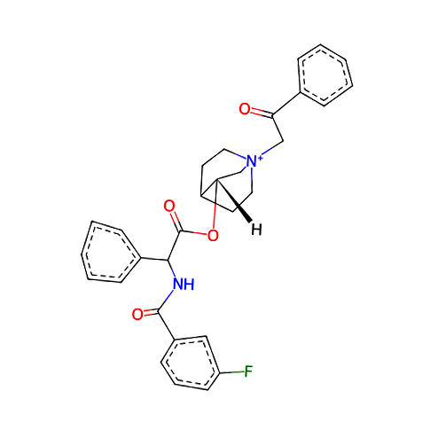 O=C(C[N+]12CCC(CC1)[C@@H](OC(=O)C(NC(=O)c1cccc(F)c1)c1ccccc1)C2)c1ccccc1